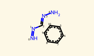 N=NC=NN.c1ccccc1